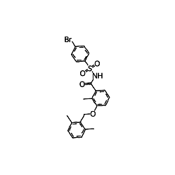 Cc1cccc(C)c1COc1cccc(C(=O)NS(=O)(=O)c2ccc(Br)cc2)c1C